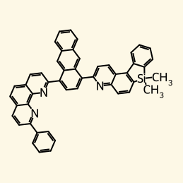 C[Si]1(C)c2ccccc2-c2c1ccc1nc(-c3ccc(-c4ccc5ccc6ccc(-c7ccccc7)nc6c5n4)c4cc5ccccc5cc34)ccc21